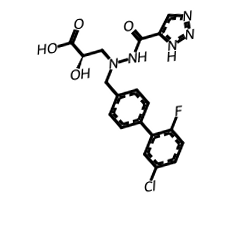 O=C(NN(Cc1ccc(-c2cc(Cl)ccc2F)cc1)C[C@@H](O)C(=O)O)c1cnn[nH]1